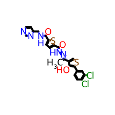 C/C(=N\NC(=O)c1ccc(C(=O)NCc2ccncn2)s1)c1csc(-c2ccc(Cl)c(Cl)c2)c1O